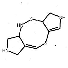 C1=C2CNCC2NSC2CNC=C2S1